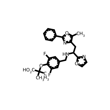 Cc1oc(-c2ccccc2)nc1CC(NCc1cc(F)c(OC(C)(C)C(=O)O)c(F)c1)c1ncco1